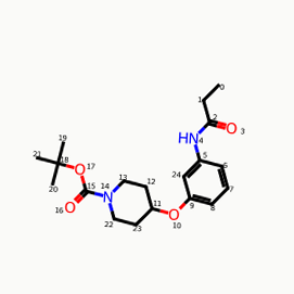 CCC(=O)Nc1cccc(OC2CCN(C(=O)OC(C)(C)C)CC2)c1